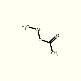 [CH3][Al][O]C(C)=O